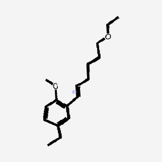 CCOCCCC/C=C/c1cc(CC)ccc1OC